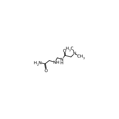 CN(C)CC(=O)NCNCC(N)=O